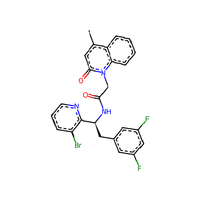 Cc1cc(=O)n(CC(=O)N[C@@H](Cc2cc(F)cc(F)c2)c2ncccc2Br)c2ccccc12